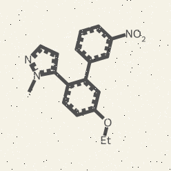 CCOc1ccc(-c2ccnn2C)c(-c2cccc([N+](=O)[O-])c2)c1